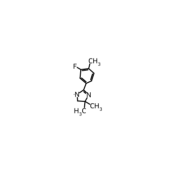 Cc1ccc(C2=NC(C)(C)C[N]2)cc1F